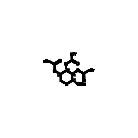 CCCC(=O)O[C@@H]1[C@@H](OC(=O)CCC)[C@H](OC)OC[C@H]1OC(=O)CCC